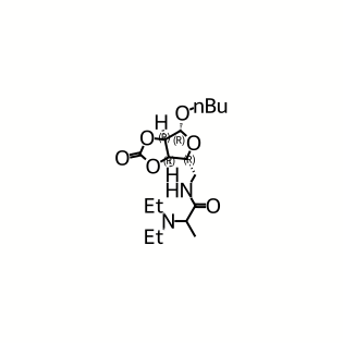 CCCCO[C@@H]1O[C@H](CNC(=O)C(C)N(CC)CC)[C@H]2OC(=O)O[C@@H]12